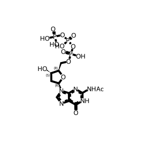 CC(=O)Nc1nc2c(ncn2[C@H]2C[C@H](O)[C@@H](COP(=O)(O)OP(=O)(O)OP(=O)(O)O)O2)c(=O)[nH]1